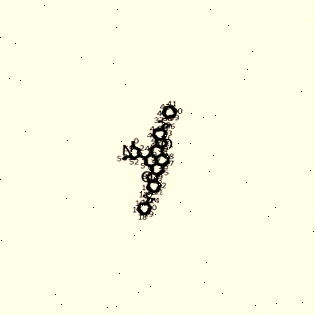 Cc1cc(-c2cc3c4oc5cc(S(C)(C)c6ccccc6)ccc5c4cc4ccc5c6oc7cc(S(C)(C)c8ccccc8)ccc7c6cc2c5c43)cc(C)n1